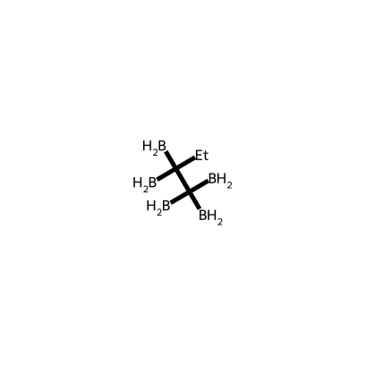 BC(B)(B)C(B)(B)CC